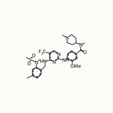 COc1cc(C(=O)N(C)C2CCN(C)CC2)ccc1Nc1ncc(C(F)(F)F)c(NCc2ccc(C)cc2N(C)S(C)(=O)=O)n1